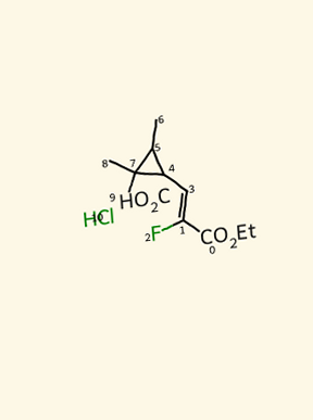 CCOC(=O)C(F)=CC1C(C)C1(C)C(=O)O.Cl